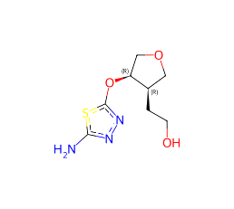 Nc1nnc(O[C@H]2COC[C@H]2CCO)s1